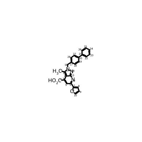 Cc1c2c(C(=O)O)cc(-c3ccco3)nc2nn1Cc1ccc(-c2ccccc2)cc1